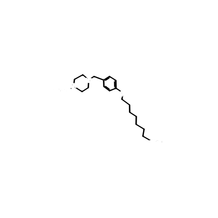 CCCCCN1CCN(Cc2ccc(OCCCCCCCC(C)CCC)cc2)CC1